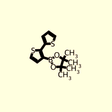 CC1(C)OB(c2ccsc2-c2cccs2)OC1(C)C